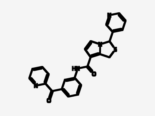 O=C(c1cccc(NC(=O)c2ccn3c2CSC3c2cccnc2)c1)c1ccccn1